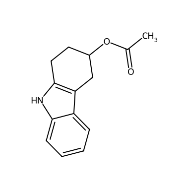 CC(=O)OC1CCc2[nH]c3ccccc3c2C1